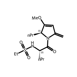 C=C1C=C(OC)[C@H](CCC)N1C(=O)[C@H](CCC)NS(=O)(=O)CC